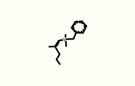 CCC/C(C)=C\[Si](C)(C)Cc1ccccc1